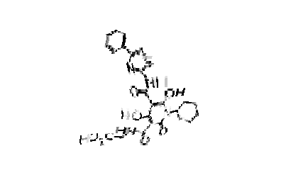 O=C(O)CNC(=O)c1c(O)c(C(=O)Nc2nc(-c3ccccc3)cs2)c(O)n(C2CCCCC2)c1=O